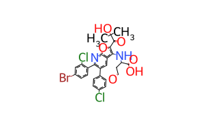 CC(C)(O)C(=O)c1oc2nc(-c3ccc(Br)cc3Cl)c(-c3ccc(Cl)cc3)cc2c1NC(CC=O)C(=O)O